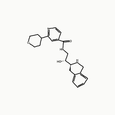 O=C(NC[C@@H](O)[C@@H]1Cc2ccccc2CN1)c1ccnc(C2CCOCC2)c1